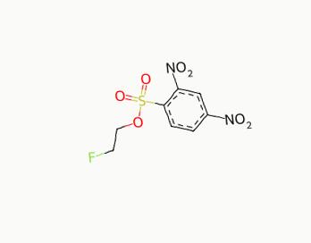 O=[N+]([O-])c1ccc(S(=O)(=O)OCCF)c([N+](=O)[O-])c1